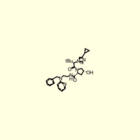 CC(C)(C)[C@@H](C(=O)N1C[C@H](O)C[C@H]1C(=O)NCCN(Cc1ccccc1)c1ccccn1)n1cc(C2CC2)nn1